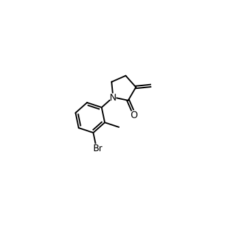 C=C1CCN(c2cccc(Br)c2C)C1=O